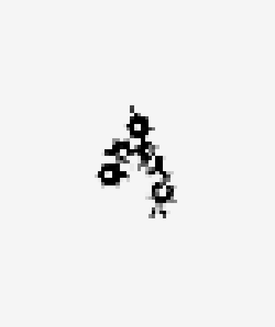 Cc1ccccc1-n1nc(-c2c(-c3ccc(F)cc3)nn3c2NCC(CN2CCC(N(C)C)CC2)C3)ccc1=O